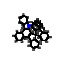 C=C(C)n1c2ccccc2c2c3ccccc3c3c(c21)C1(c2ccccc2-c2ccccc21)c1ccccc1-3